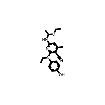 CCOC(C)Nc1cc(C)c(C#N)c(N(CC)c2ccc(O)cc2)n1